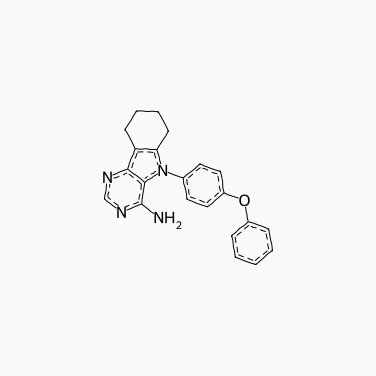 Nc1ncnc2c3c(n(-c4ccc(Oc5ccccc5)cc4)c12)CCCC3